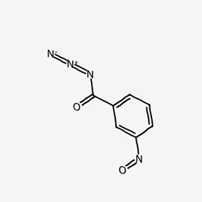 [N-]=[N+]=NC(=O)c1cccc(N=O)c1